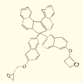 C1=CC2C(c3ccccc31)c1c(ccc3ccccc13)C2(c1ccc2cc(OCC3CO3)ccc2c1)c1ccc2cc(OC3CCO3)ccc2c1